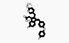 COc1ccc(CC2=C(CC(=O)O)c3cc(F)ccc3/C2=C\c2ccc(Oc3ccc(F)cc3)cc2)cn1